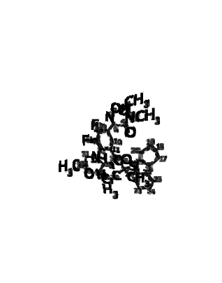 CON(C)C(=O)C(=NO)c1cc(CO[Si](c2ccccc2)(c2ccccc2)C(C)(C)C)c(N2C[C@@H](C)O[C@@H](C)C2)c(F)c1F